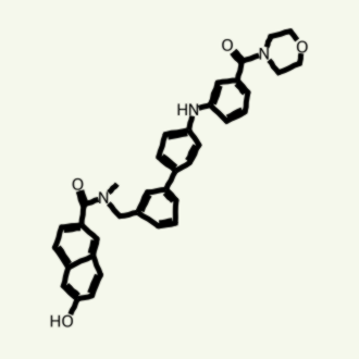 CN(Cc1cccc(-c2ccc(Nc3cccc(C(=O)N4CCOCC4)c3)cc2)c1)C(=O)c1ccc2cc(O)ccc2c1